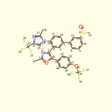 Cc1nc(-c2cc(-c3cccc([S+](C)[O-])c3)ccc2-n2cc(C(F)(F)F)nc2C)c(-c2ccc(OC(F)(F)F)cc2)o1